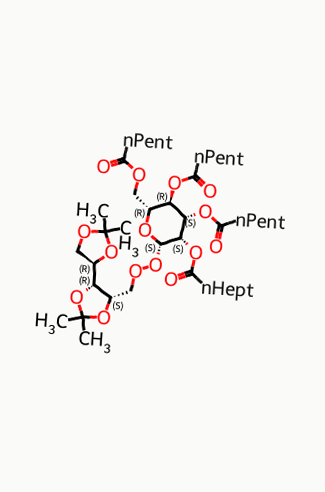 CCCCCCCC(=O)O[C@@H]1[C@H](OOC[C@@H]2OC(C)(C)O[C@@H]2[C@H]2COC(C)(C)O2)O[C@H](COC(=O)CCCCC)[C@@H](OC(=O)CCCCC)[C@@H]1OC(=O)CCCCC